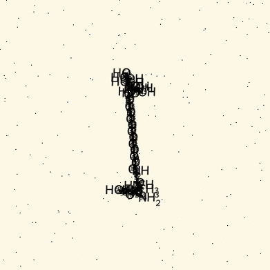 CC(C)[C@H](NC(=O)CCCCCNC(=O)CCOCCOCCOCCOCCOCCOCCOCCOCCOCCOCCOCCOCCN(C[C@H](O)[C@@H](O)[C@H](O)[C@H](O)CO)C[C@H](O)[C@@H](O)[C@H](O)[C@H](O)CO)C(=O)N[C@@H](CCCCN)C(=O)Nc1ccc(CO)cc1